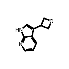 c1cnc2[nH]cc(C3COC3)c2c1